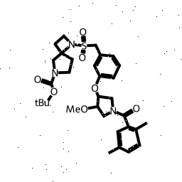 COC1CN(C(=O)c2cc(C)ccc2C)CC1Oc1cccc(CS(=O)(=O)N2CCC23CCN(C(=O)OC(C)(C)C)C3)c1